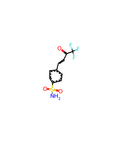 NS(=O)(=O)c1ccc(/C=C/C(=O)C(F)(F)F)cc1